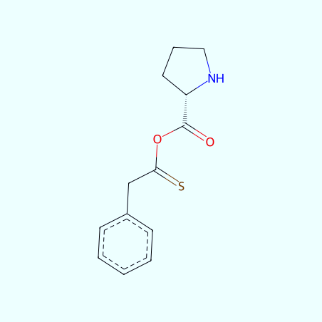 O=C(OC(=S)Cc1ccccc1)[C@@H]1CCCN1